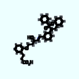 O=C(O)CCc1ccccc1OCC[C@@H](O)/C=C/c1cccc(N(Cc2ccccc2)S(=O)(=O)c2ccccc2)c1